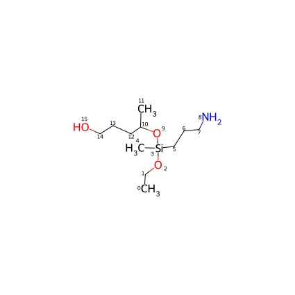 CCO[Si](C)(CCCN)OC(C)CCCO